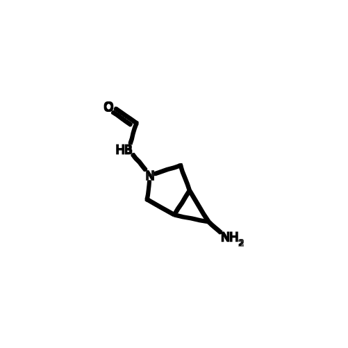 NC1C2CN(BC=O)CC12